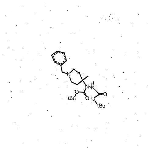 CC(C)(C)OC(=O)NN(C(=O)OC(C)(C)C)C1(C)CCN(Cc2ccccc2)CC1